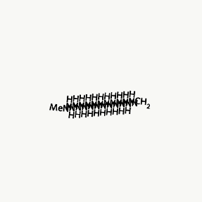 C=NNNNNNNNNNNNNNNNNNNNNNNC